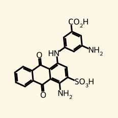 Nc1cc(Nc2cc(S(=O)(=O)O)c(N)c3c2C(=O)c2ccccc2C3=O)cc(C(=O)O)c1